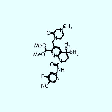 BC1(B)CCN(C(=O)Nc2cc(F)c(C#N)cn2)c2nc(C(OC)OC)c(CN3CCN(C)CC3=O)cc21